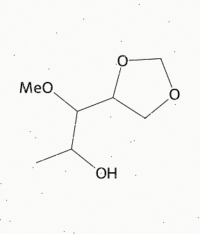 COC(C(C)O)C1COCO1